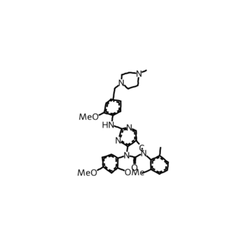 COc1ccc(N2C(=O)N(c3c(C)cccc3C)Cc3cnc(Nc4ccc(CN5CCN(C)CC5)cc4OC)nc32)c(OC)c1